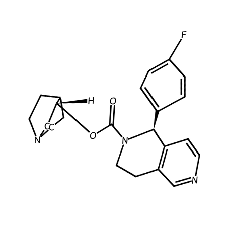 O=C(O[C@@H]1CN2CCC1CC2)N1CCc2cnccc2[C@@H]1c1ccc(F)cc1